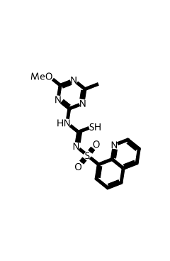 COc1nc(C)nc(NC(S)=NS(=O)(=O)c2cccc3cccnc23)n1